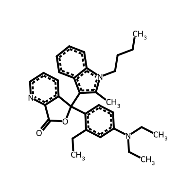 CCCCn1c(C)c(C2(c3ccc(N(CC)CC)cc3CC)OC(=O)c3ncccc32)c2ccccc21